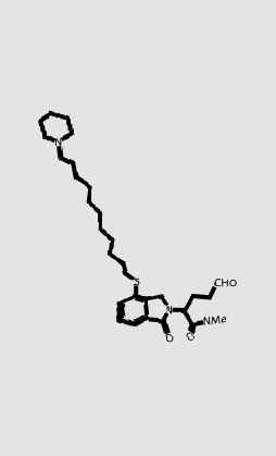 CNC(=O)C(CCC=O)N1Cc2c(SCCCCCCCCCCCN3CCCCC3)cccc2C1=O